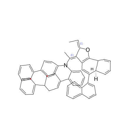 C/C=c1/oc2c(/c1=C(/C)N(c1ccc(-c3ccccc3)cc1)c1ccccc1C1=CCC(c3ccccc3)C=C1)C=C(c1cccc3ccccc13)[C@@H]1C=CC=CC21